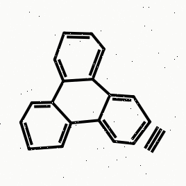 C#C.c1ccc2c(c1)c1ccccc1c1ccccc21